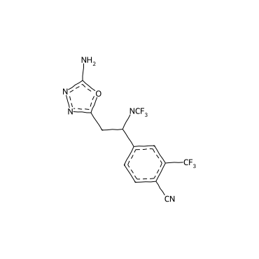 N#Cc1ccc(C(Cc2nnc(N)o2)NC(F)(F)F)cc1C(F)(F)F